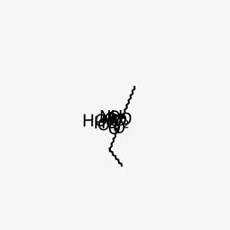 CCCCCCCC/C=C\CCCCCCCC(=O)O[C@H](COC(=O)CCCCCCCCCCCCC)COP(=O)(O)OC[C@H](N)C(=O)O